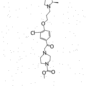 COC(=O)N1CCN(CC(=O)c2ccc(OCCCN3CCC[C@H]3C)c(Cl)c2)CC1